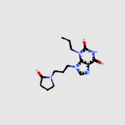 CCCn1c(=O)[nH]c(=O)c2ncn(CCCN3CCCC3=O)c21